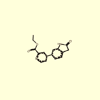 CCOC(=O)c1cc(-c2ccc3c(c2)NC(=O)C3)ccn1